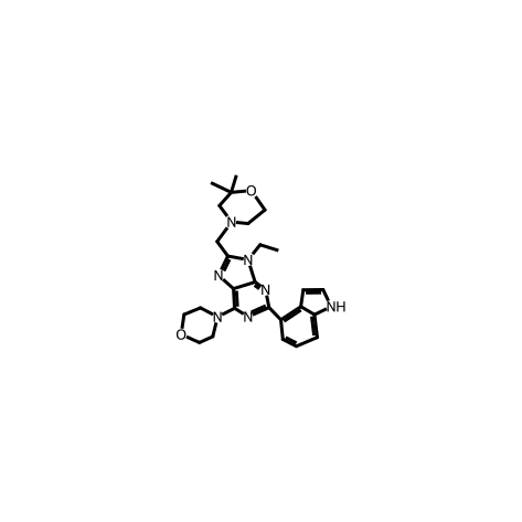 CCn1c(CN2CCOC(C)(C)C2)nc2c(N3CCOCC3)nc(-c3cccc4[nH]ccc34)nc21